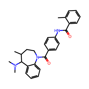 Cc1ccccc1C(=O)Nc1ccc(C(=O)N2CCC(C)C(N(C)C)c3ccccc32)cc1